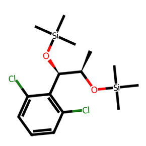 C[C@@H](O[Si](C)(C)C)[C@H](O[Si](C)(C)C)c1c(Cl)cccc1Cl